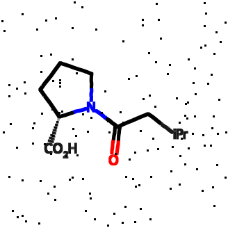 CC(C)CC(=O)N1CCC[C@H]1C(=O)O